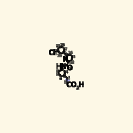 O=C(O)/C=C/c1cccc(NC(=O)c2cccc(-c3cccc(Cl)c3)n2)c1